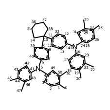 Cc1ccc(N(c2ccc(C3(c4ccc(N(c5ccc(C)c(C)c5)c5ccc(C)c(C)c5)cc4)CCCCC3)cc2)c2ccc(C)c(C)c2)cc1C